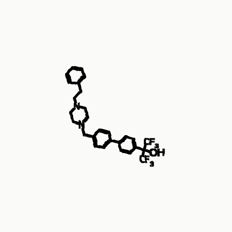 OC(c1ccc(-c2ccc(CN3CCN(CCc4ccccc4)CC3)cc2)cc1)(C(F)(F)F)C(F)(F)F